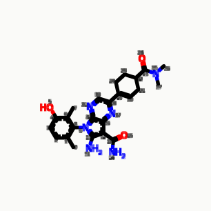 Cc1ccc(O)c(C)c1-n1c(N)c(C(N)=O)c2nc(C3=CCC(C(=O)N(C)C)CC3)cnc21